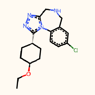 CCO[C@H]1CC[C@H](c2nnc3n2-c2ccc(Cl)cc2CNC3)CC1